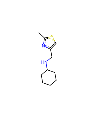 Cc1nc(CNC2CCCCC2)cs1